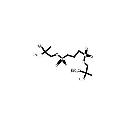 CCOC(=O)C(C)(N)COS(=O)(=O)CCCS(=O)(=O)OCC(C)(N)C(=O)OCC